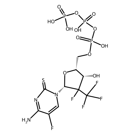 Nc1nc(=S)n([C@@H]2O[C@H](COP(=O)(O)OP(=O)(O)OP(=O)(O)O)[C@H](O)C2(F)C(F)(F)F)cc1F